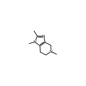 Cc1nc2c(n1C)CCN(C)C2